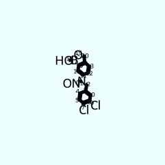 O=NN(Cc1ccc(Cl)c(Cl)c1)c1ccc2c(c1)B(O)OC2